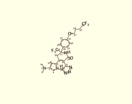 CN(C)c1cnc(C2=C(c3nnn[nH]3)C(=O)NC(c3ccc(OCCCC(F)(F)F)cc3)(C(F)(F)F)C2)s1